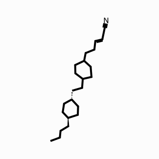 CCCC[C@H]1CC[C@H](CCC2CCC(CCC=CC#N)CC2)CC1